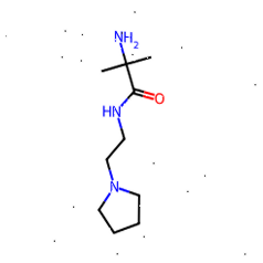 CC(C)(N)C(=O)NCCN1CCCC1